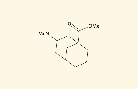 CNC1CC2CCCC(C(=O)OC)(C2)C1